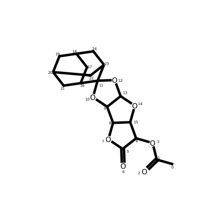 CC(=O)OC1C(=O)OC2C3OC4(OC3OC12)C1CC2CC(C1)CC4C2